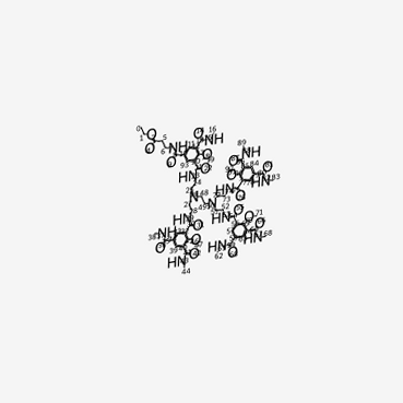 CCOC(=O)CCNC(=O)c1cc(C(=O)NC)c(OC)c(C(=O)NCCN(CCNC(=O)c2cc(C(=O)NC)cc(C(=O)NC)c2OC)CCN(CCNC(=O)c2cc(C(=O)NC)cc(C(=O)NC)c2OC)CCNC(=O)c2cc(C(=O)NC)cc(C(=O)NC)c2OC)c1